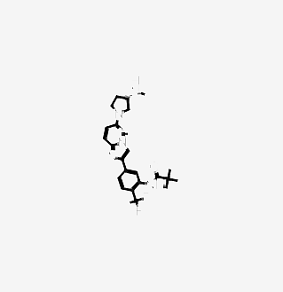 CN[C@@H]1CCN(c2ccc3nc(-c4ccc(C(F)(F)F)c(NC(=O)C(C)(C)C)c4)cn3n2)C1